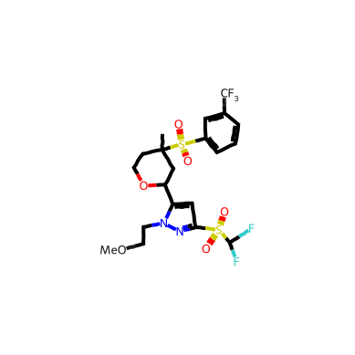 COCCn1nc(S(=O)(=O)C(F)F)cc1C1CC(C)(S(=O)(=O)c2cccc(C(F)(F)F)c2)CCO1